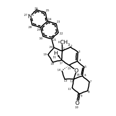 CC12CC=C3C=C4CCC(=O)CC45CC[C@]3(O5)[C@@H]1CCC2c1ccc2ccncc2c1